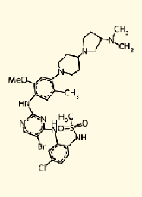 COc1cc(N2CCC(N3CCC(N(C)C)C3)CC2)c(C)cc1Nc1ncc(Br)c(Nc2cc(Cl)ccc2NS(C)(=O)=O)n1